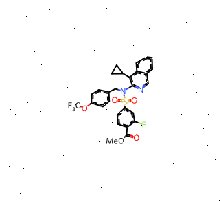 COC(=O)c1ccc(S(=O)(=O)N(Cc2ccc(OC(F)(F)F)cc2)c2ncc3ccccc3c2C2CC2)cc1F